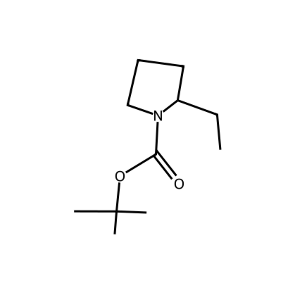 CCC1CCCN1C(=O)OC(C)(C)C